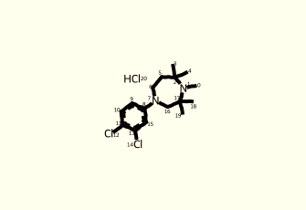 CN1C(C)(C)CCN(c2ccc(Cl)c(Cl)c2)CC1(C)C.Cl